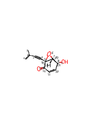 C=C(C)C#C[C@@]12O[C@@H]1[C@@H](O)C=CC2=O